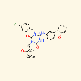 COC(=O)[C@H](C)[C@H](C)n1c(=O)[nH]/c(=N\c2ccc3oc4ccccc4c3c2)n(Cc2ccc(Cl)cc2)c1=O